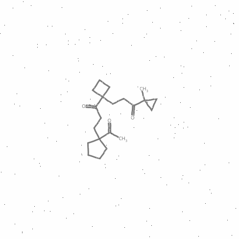 CC(=O)C1(CCC(=O)C2(CCC(=O)C3(C)CC3)CCC2)CCCC1